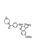 COc1ccc2nc(Nc3ccc(C(=O)N4CCCN(C)CC4)cc3)c3n[nH]cc3c2c1